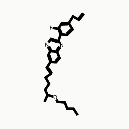 C=CCc1ccc(-c2cnc3cc(/C=C/CCCC(C)OCCCCC)ccc3n2)c(F)c1